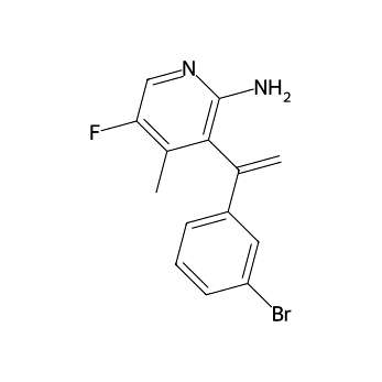 C=C(c1cccc(Br)c1)c1c(N)ncc(F)c1C